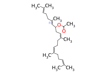 CC(=O)OC(/C=C(\C)CCC=C(C)C)CC=C(C)CCC=C(C)CCC=C(C)C